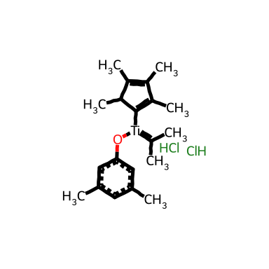 CC1=C(C)C(C)[C]([Ti]([O]c2cc(C)cc(C)c2)=[C](C)C)=C1C.Cl.Cl